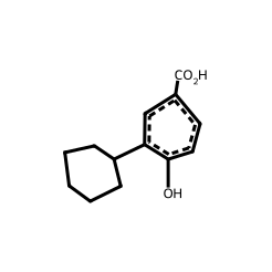 O=C(O)c1ccc(O)c(C2CCCCC2)c1